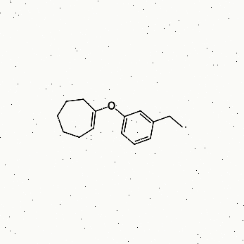 [CH2]Cc1cccc(OC2=CCCCCC2)c1